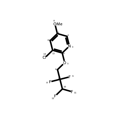 COc1cnc(OCC(F)(F)C(F)F)c(Cl)c1